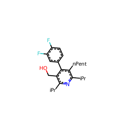 CCCCCc1c(C(C)C)nc(C(C)C)c(CO)c1-c1ccc(F)c(F)c1